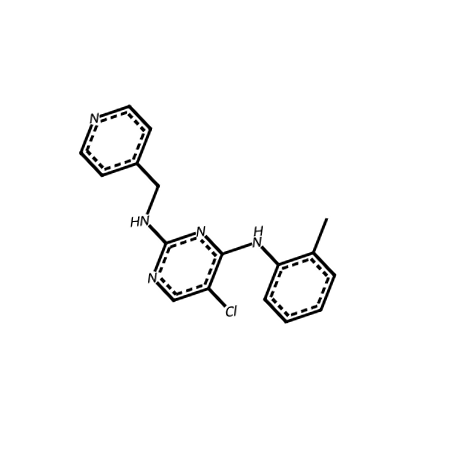 Cc1ccccc1Nc1nc(NCc2ccncc2)ncc1Cl